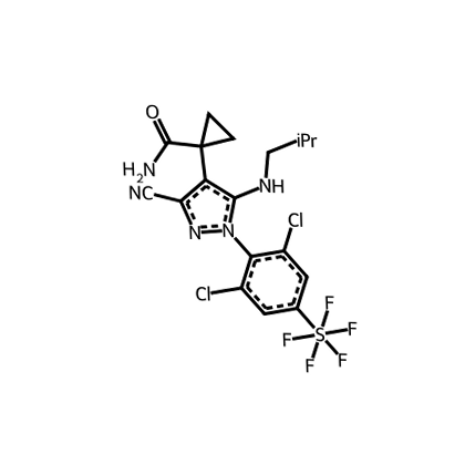 CC(C)CNc1c(C2(C(N)=O)CC2)c(C#N)nn1-c1c(Cl)cc(S(F)(F)(F)(F)F)cc1Cl